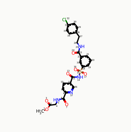 COC(=O)CNC(=O)c1ccc(C(=O)NS(=O)(=O)c2cccc(C(=O)NCCc3ccc(Cl)cc3)c2)cn1